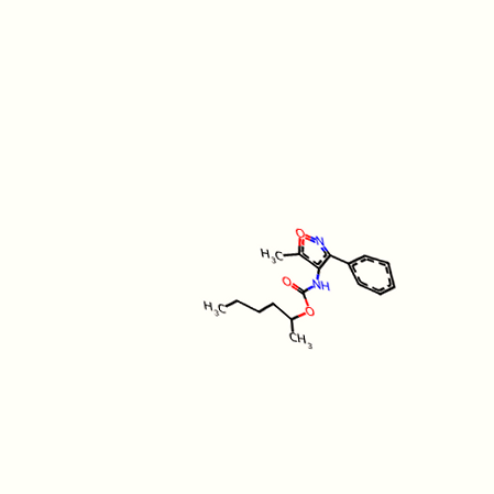 CCCCC(C)OC(=O)Nc1c(-c2ccccc2)noc1C